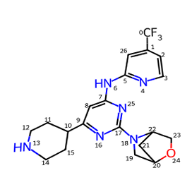 FC(F)(F)c1ccnc(Nc2cc(C3CCNCC3)nc(N3CC4CC3CO4)n2)c1